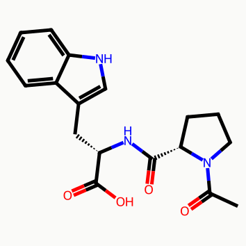 CC(=O)N1CCC[C@H]1C(=O)N[C@@H](Cc1c[nH]c2ccccc12)C(=O)O